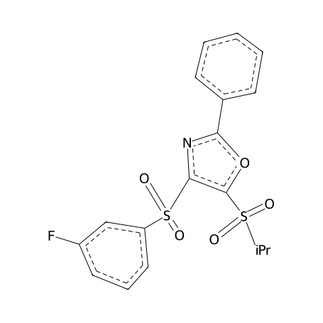 CC(C)S(=O)(=O)c1oc(-c2ccccc2)nc1S(=O)(=O)c1cccc(F)c1